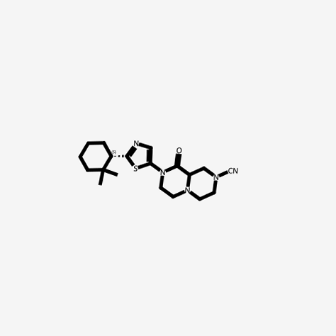 CC1(C)CCCC[C@@H]1c1ncc(N2CCN3CCN(C#N)CC3C2=O)s1